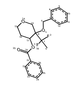 CC(F)(F)C1(OCc2ccccc2)COCCC1OC(=O)c1ccccc1